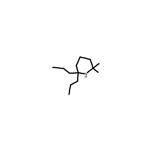 CCCC1(CCC)CCCC(C)(C)N1